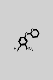 Cc1ccc(OC2CCCCO2)cc1[N+](=O)[O-]